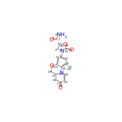 NC(=O)[C@H]1CN(c2cc(F)c3c(c2)OCC2CC(=O)C=CN32)C(=O)O1